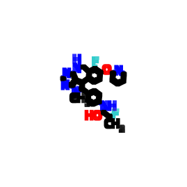 C=C(F)C(O)Nc1ccc(-c2c3c4c(ncnc4n2C)NCc2c-3ccc(Oc3ccccn3)c2F)cc1